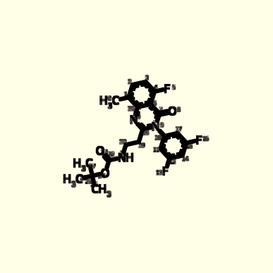 Cc1ccc(F)c2c(=O)n(-c3cc(F)cc(F)c3)c(CCNC(=O)OC(C)(C)C)nc12